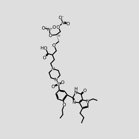 CCCOc1ccc(S(=O)(=O)N2CCN(CCC(COC[C@@H](CO[N+](=O)[O-])O[N+](=O)[O-])C(=O)O)CC2)cc1-c1nc2c(CCC)cn(CC)c2c(=O)[nH]1